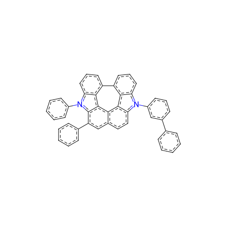 c1ccc(-c2cccc(-n3c4cccc5c4c4c6c(ccc43)cc(-c3ccccc3)c3c6c4c-5cccc4n3-c3ccccc3)c2)cc1